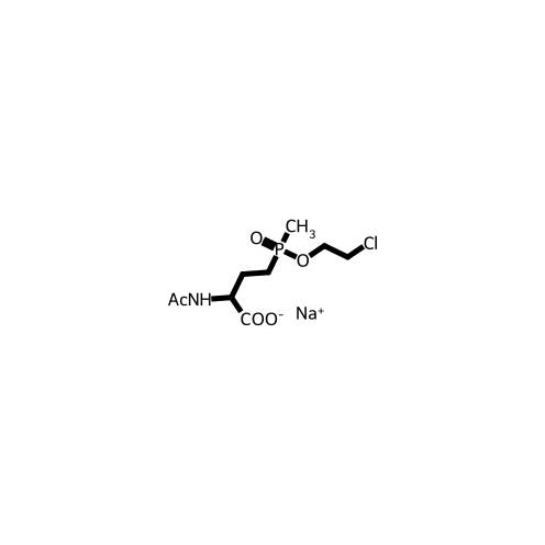 CC(=O)NC(CCP(C)(=O)OCCCl)C(=O)[O-].[Na+]